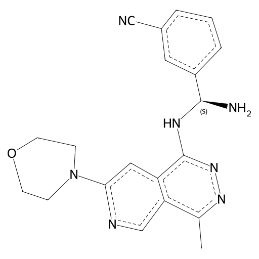 Cc1nnc(N[C@H](N)c2cccc(C#N)c2)c2cc(N3CCOCC3)ncc12